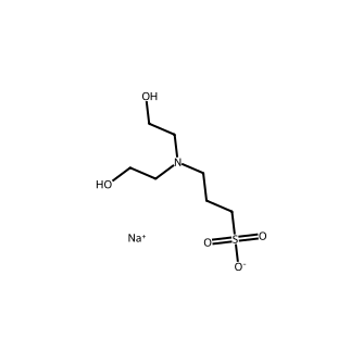 O=S(=O)([O-])CCCN(CCO)CCO.[Na+]